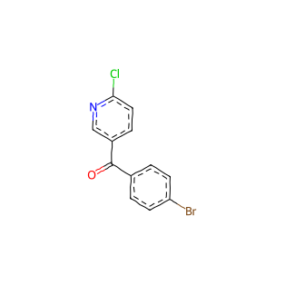 O=C(c1ccc(Br)cc1)c1ccc(Cl)nc1